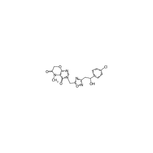 CN1C(=O)COc2ncn(Cc3nc(CC(O)c4ccc(Cl)cc4)no3)c(=O)c21